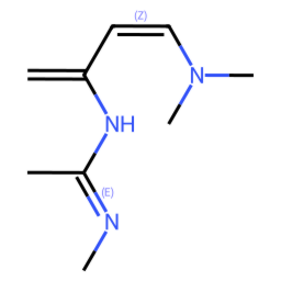 C=C(/C=C\N(C)C)N/C(C)=N/C